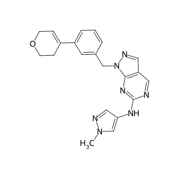 Cn1cc(Nc2ncc3cnn(Cc4cccc(C5=CCOCC5)c4)c3n2)cn1